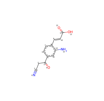 N#CCC(=O)c1ccc(C=CC(=O)O)c(N)c1